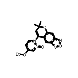 CCOc1ccn(C2=CC(C)(C)Oc3cc4nonc4cc32)[n+](=O)c1